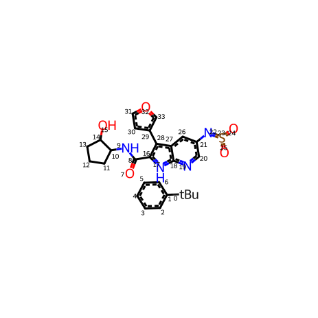 CC(C)(C)c1ccccc1.O=C(NC1CCCC1O)c1[nH]c2ncc(N=S(=O)=O)cc2c1-c1ccoc1